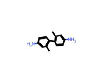 Cc1cc(N)ccc1-c1ccc(N)cc1C